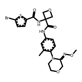 CON=C1COCCN1c1ccc(NC(=O)C2(NC(=O)c3ccc(Br)s3)COC2)cc1C